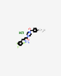 Cl.N[C@@H](CC(=O)N1CCN(C(=O)c2ccc(C(=O)O)cc2)CC1)Cc1cc(F)c(F)cc1F